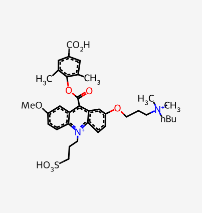 CCCC[N+](C)(C)CCCOc1ccc2c(c1)c(C(=O)Oc1c(C)cc(C(=O)O)cc1C)c1cc(OC)ccc1[n+]2CCCS(=O)(=O)O